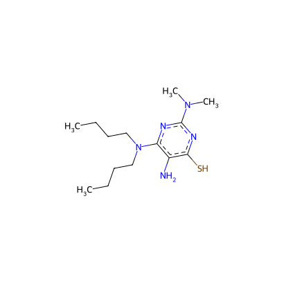 CCCCN(CCCC)c1nc(N(C)C)nc(S)c1N